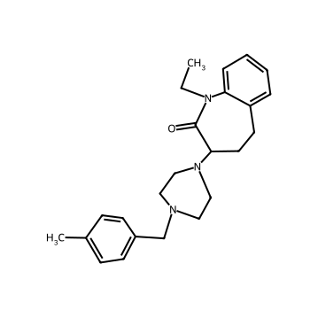 CCN1C(=O)C(N2CCN(Cc3ccc(C)cc3)CC2)CCc2ccccc21